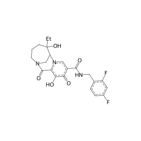 CCC1(O)CCCN2CC1n1cc(C(=O)NCc3ccc(F)cc3F)c(=O)c(O)c1C2=O